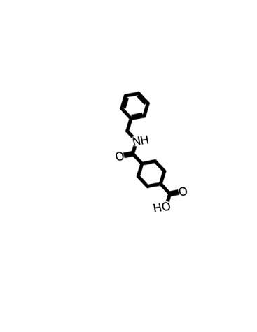 O=C(O)C1CCC(C(=O)NCc2ccccc2)CC1